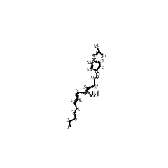 CCCCCCCCNCCCOc1ccc(SC(C)C)cc1